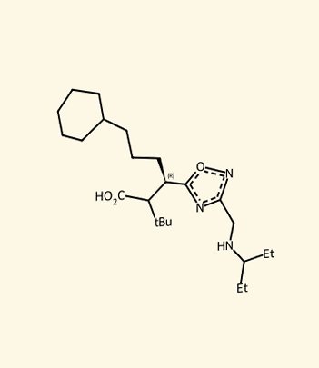 CCC(CC)NCc1noc([C@H](CCCC2CCCCC2)C(C(=O)O)C(C)(C)C)n1